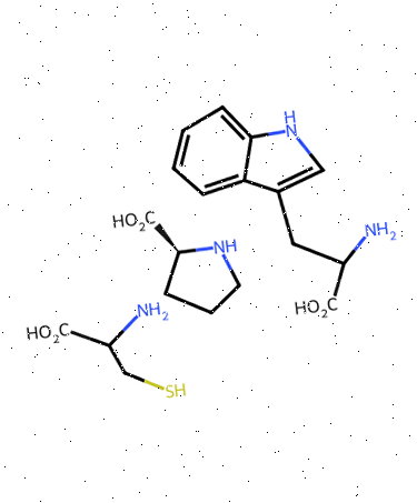 NC(CS)C(=O)O.NC(Cc1c[nH]c2ccccc12)C(=O)O.O=C(O)[C@@H]1CCCN1